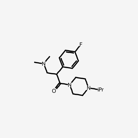 CC(C)N1CCN(C(=O)C(CN(C)C)c2ccc(F)cc2)CC1